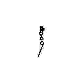 CCCCCCCCC[C@H]1CC[C@H](c2ccc(-c3ccc(C=C(F)F)cc3)cc2)CC1